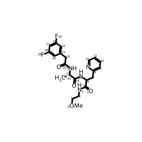 COCCNC(=O)C(Cc1ccccn1)NC(=O)[C@H](C)NC(=O)Cc1cc(F)cc(F)c1